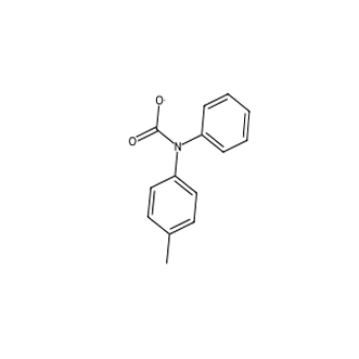 Cc1ccc(N(C([O])=O)c2ccccc2)cc1